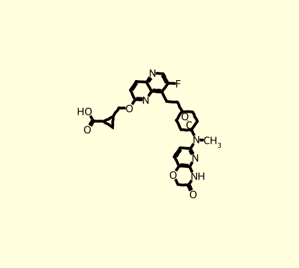 CN(c1ccc2c(n1)NC(=O)CO2)C12CCC(CCc3c(F)cnc4ccc(OCC5CC5C(=O)O)nc34)(CC1)OC2